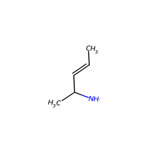 CC=CC(C)[NH]